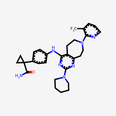 NC(=O)C1(c2ccc(Nc3nc(N4CCCCC4)nc4c3CCN(c3ncccc3C(F)(F)F)CC4)cc2)CC1